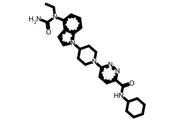 CCN(C(N)=O)c1cccc2c1ccn2C1CCN(c2ccc(C(=O)NC3CCCCC3)nn2)CC1